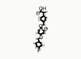 CC(C(=O)O)c1ccc(COn2ccc(OCc3ccc(F)cc3)cc2=O)cc1